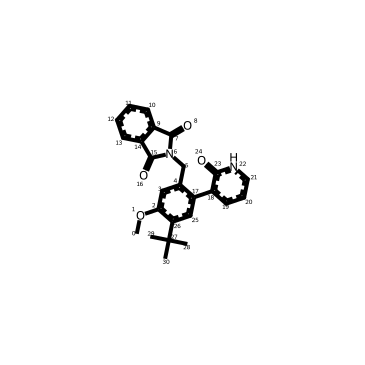 COc1cc(CN2C(=O)c3ccccc3C2=O)c(-c2ccc[nH]c2=O)cc1C(C)(C)C